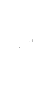 Nc1c(NCCO)nn2ccccc12